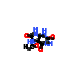 COC12NC(=O)NC1NC(=O)NC2=O